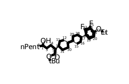 CCCCCC(O)CCC(C(=O)OC(C)(C)C)[C@H]1CC[C@H]([C@H]2CC[C@H](c3ccc(OCC)c(F)c3F)CC2)CC1